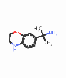 CC(C)(N)c1ccc2c(c1)OCCN2